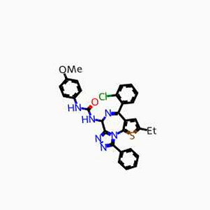 CCc1cc2c(s1)-n1c(-c3ccccc3)nnc1C(NC(=O)Nc1ccc(OC)cc1)N=C2c1ccccc1Cl